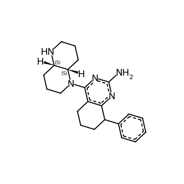 Nc1nc2c(c(N3CCC[C@@H]4NCCC[C@@H]43)n1)CCCC2c1ccccc1